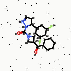 O=C(C1CCCCC1)C1CN(C(=O)N2N=CC[C@H]2C2CC(F)CC(F)C2)C1